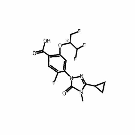 Cn1c(C2CC2)nn(-c2cc(O[C@@H](CF)C(F)F)c(C(=O)O)cc2F)c1=O